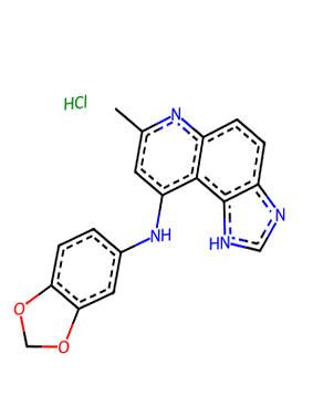 Cc1cc(Nc2ccc3c(c2)OCO3)c2c(ccc3nc[nH]c32)n1.Cl